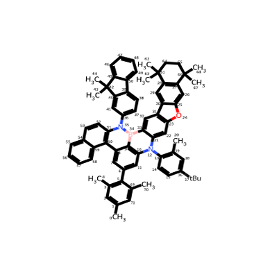 Cc1cc(C)c(-c2cc3c4c(c2)N(c2ccc(C(C)(C)C)cc2C)c2cc5oc6cc7c(cc6c5cc2B4N(c2ccc4c(c2)C(C)(C)c2ccccc2-4)c2ccc4ccccc4c2-3)C(C)(C)CCC7(C)C)c(C)c1